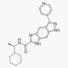 C[C@@H](NC(=O)c1nc2cc3c(-c4ccncc4)n[nH]c3cc2[nH]1)C1CCCCC1